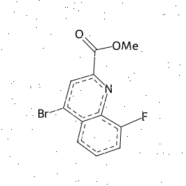 COC(=O)c1cc(Br)c2cccc(F)c2n1